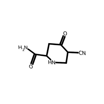 N#CC1CNC(C(N)=O)CC1=O